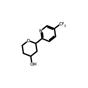 OC1CCOC(c2ccc(C(F)(F)F)cn2)C1